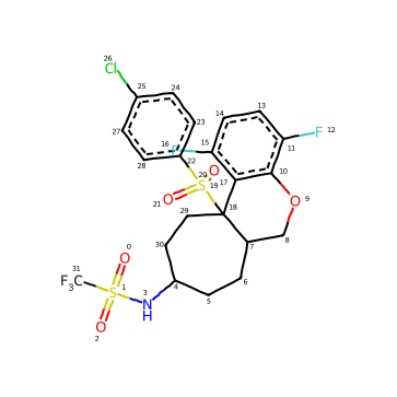 O=S(=O)(NC1CCC2COc3c(F)ccc(F)c3C2(S(=O)(=O)c2ccc(Cl)cc2)CC1)C(F)(F)F